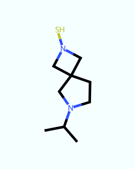 CC(C)N1CCC2(CN(S)C2)C1